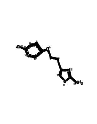 NC1=NC(CCOc2ccc(Cl)nc2)CO1